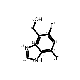 OCc1c(F)[c]c(F)c2[nH][c]nc12